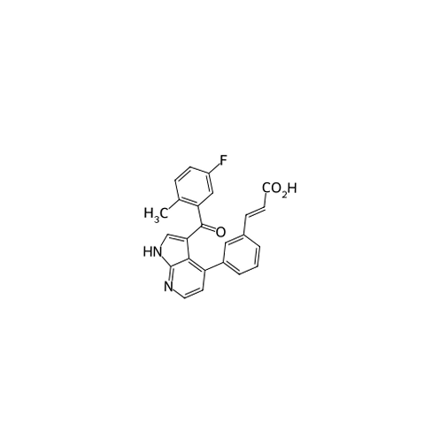 Cc1ccc(F)cc1C(=O)c1c[nH]c2nccc(-c3cccc(C=CC(=O)O)c3)c12